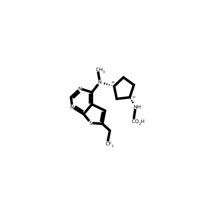 CN(c1ncnc2sc(CC(F)(F)F)cc12)[C@@H]1CC[C@H](NC(=O)O)C1